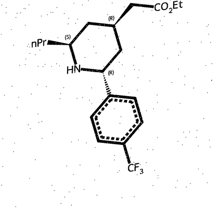 CCC[C@H]1C[C@@H](CC(=O)OCC)C[C@H](c2ccc(C(F)(F)F)cc2)N1